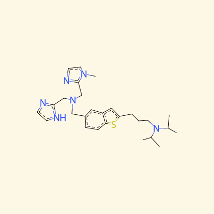 CC(C)N(CCCc1cc2cc(CN(Cc3ncc[nH]3)Cc3nccn3C)ccc2s1)C(C)C